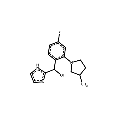 CC1CCN(c2cc(F)ccc2C(O)c2ncc[nH]2)C1